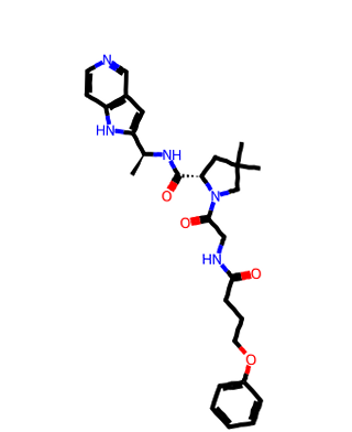 C[C@H](NC(=O)[C@@H]1CC(C)(C)CN1C(=O)CNC(=O)CCCOc1ccccc1)c1cc2cnccc2[nH]1